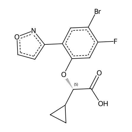 O=C(O)[C@@H](Oc1cc(F)c(Br)cc1-c1ccon1)C1CC1